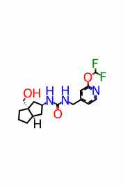 O=C(NCc1ccnc(OC(F)F)c1)N[C@H]1C[C@H]2CCC[C@@]2(CO)C1